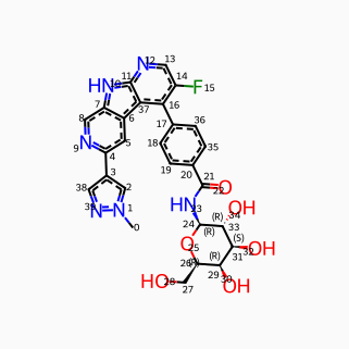 Cn1cc(-c2cc3c(cn2)[nH]c2ncc(F)c(-c4ccc(C(=O)N[C@@H]5O[C@H](CO)[C@H](O)[C@H](O)[C@H]5O)cc4)c23)cn1